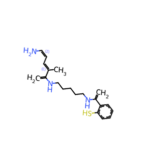 C=C(NCCCCCNC(=C)c1ccccc1S)/C(C)=C/C=C\N